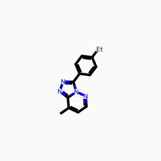 CCc1ccc(-c2nnc3c(C)ccnn23)cc1